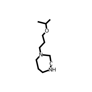 CC(C)OCCCN1CCCNCC1